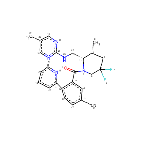 C[C@@H]1CC(F)(F)CN(C(=O)c2cc(C#N)ccc2-c2ccccn2)[C@@H]1CNc1ncc(C(F)(F)F)cn1